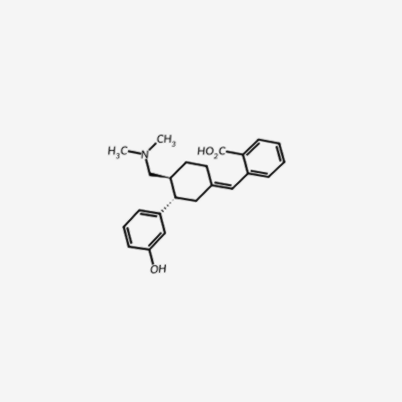 CN(C)C[C@H]1CC/C(=C\c2ccccc2C(=O)O)C[C@@H]1c1cccc(O)c1